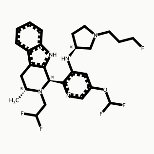 C[C@@H]1Cc2c([nH]c3ccccc23)[C@@H](c2ncc(OC(F)F)cc2N[C@H]2CCN(CCCF)C2)N1CC(F)F